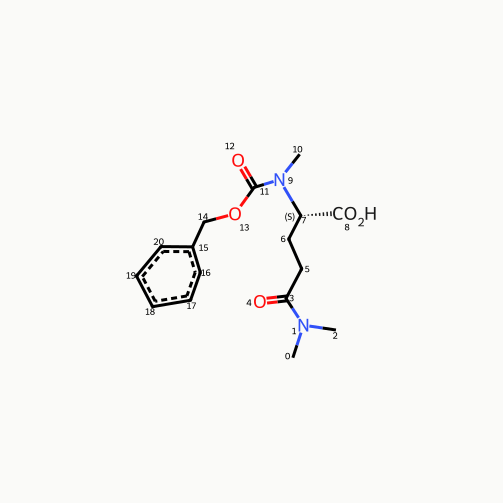 CN(C)C(=O)CC[C@@H](C(=O)O)N(C)C(=O)OCc1ccccc1